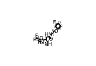 N=C/C(=C\C(=O)NCCOc1cccc(F)c1)c1nnc(C(F)F)o1